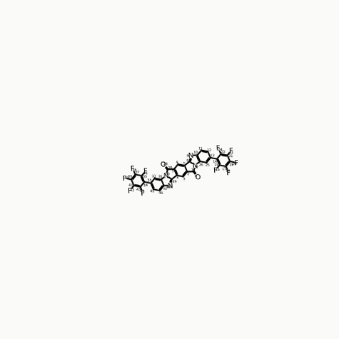 O=c1c2cc3c(cc2c2nc4ccc(-c5c(F)c(F)c(F)c(F)c5F)cc4n12)c(=O)n1c2cc(-c4c(F)c(F)c(F)c(F)c4F)ccc2nc31